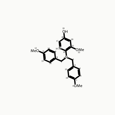 COc1ccc(CN(Cc2ccc(OC)cc2)c2ncc(O)cc2OC)cc1